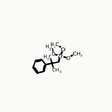 C[O][Zr]([CH2]C(C)(C)c1ccccc1)([O]C)[O]C